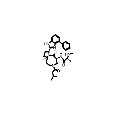 CN[C@@H](C)C(=O)N[C@H]1CN(C(=O)CC(C)C)CC[C@H]2CC[C@@H](c3nc4c(-c5ccccc5)cccc4[nH]3)N2C1=O